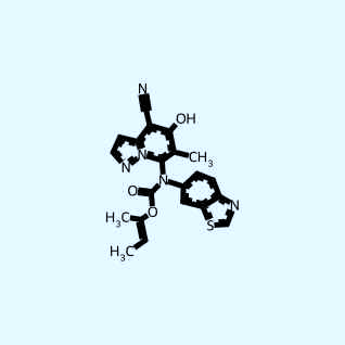 C/C=C(\C)OC(=O)N(c1ccc2ncsc2c1)c1c(C)c(O)c(C#N)c2ccnn12